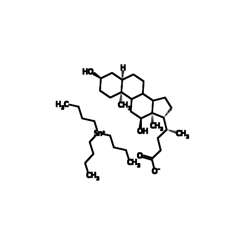 CCC[CH2][Sn+]([CH2]CCC)[CH2]CCC.C[C@H](CCC(=O)[O-])[C@H]1CCC2C3CC[C@@H]4C[C@H](O)CC[C@]4(C)C3C[C@H](O)[C@@]21C